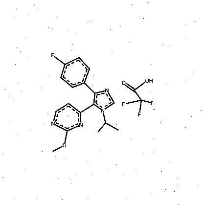 COc1nccc(-c2c(-c3ccc(F)cc3)ncn2C(C)C)n1.O=C(O)C(F)(F)F